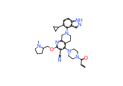 C=CC(=O)N1CCN(c2c(C#N)c(OCC3CCCN3C)nc3c2CCN(c2c(C4CC4)ccc4[nH]ncc24)C3)CC1